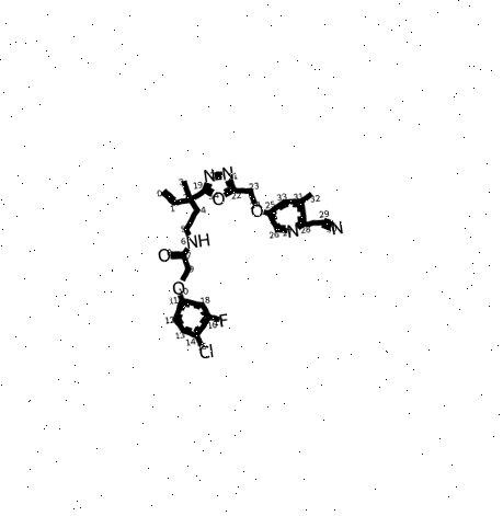 C=CC(C)(CCNC(=O)COc1ccc(Cl)c(F)c1)c1nnc(COc2cnc(C#N)c(C)c2)o1